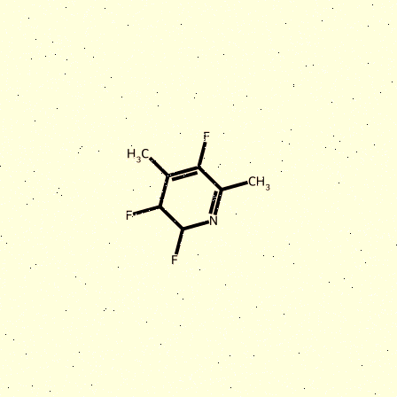 CC1=NC(F)C(F)C(C)=C1F